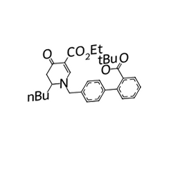 CCCCC1CC(=O)C(C(=O)OCC)=CN1Cc1ccc(-c2ccccc2C(=O)OC(C)(C)C)cc1